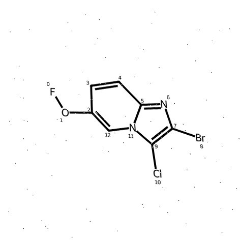 FOc1ccc2nc(Br)c(Cl)n2c1